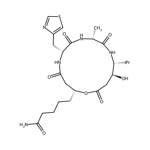 CC(C)[C@H]1NC(=O)[C@@H](C)NC(=O)[C@@H](Cc2cscn2)NC(=O)C[C@@H](CCCCC(N)=O)OC(=O)C[C@@H]1O